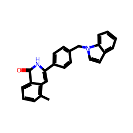 Cc1cccc2c(=O)[nH]c(-c3ccc(Cn4ccc5ccccc54)cc3)cc12